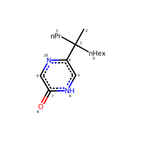 CCCCCCC(C)(CCC)c1c[nH]c(=O)cn1